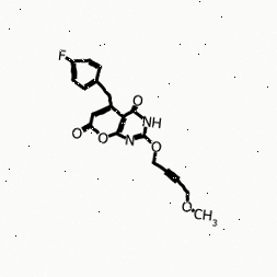 COCC#CCOc1nc2oc(=O)cc(Cc3ccc(F)cc3)c2c(=O)[nH]1